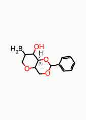 BC1COC2COC(c3ccccc3)O[C@@H]2C1O